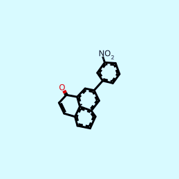 O=C1C=Cc2cccc3cc(-c4cccc([N+](=O)[O-])c4)cc1c23